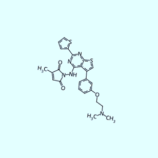 CC1=CC(=O)N(Nc2nc(-c3cccs3)nc3scc(-c4cccc(OCCN(C)C)c4)c23)C1=O